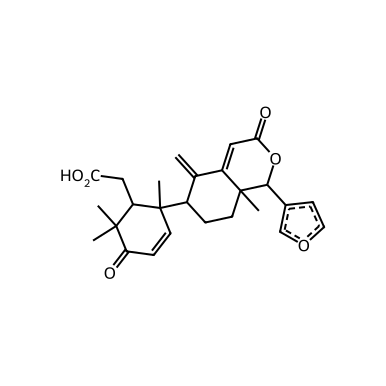 C=C1C2=CC(=O)OC(c3ccoc3)C2(C)CCC1C1(C)C=CC(=O)C(C)(C)C1CC(=O)O